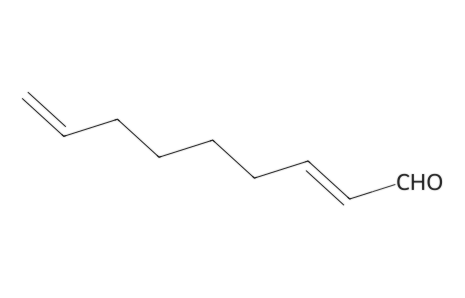 C=CCCCCC=CC=O